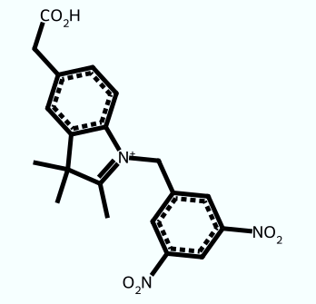 CC1=[N+](Cc2cc([N+](=O)[O-])cc([N+](=O)[O-])c2)c2ccc(CC(=O)O)cc2C1(C)C